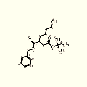 CCCCCC(CC(=O)OC(C)(C)C)C(=O)OCc1ccccc1